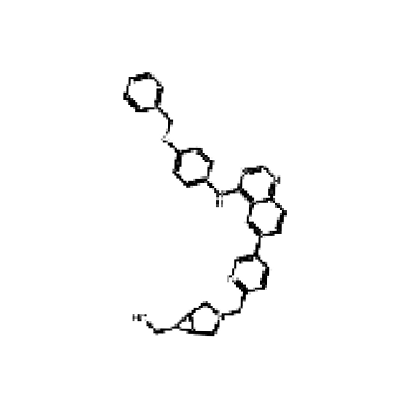 OCC1C2CN(Cc3ccc(-c4ccc5ncnc(Nc6ccc(OCc7ccccc7)cc6)c5c4)cn3)CC12